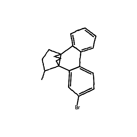 CC1CCC23CCCC12c1cc(Br)ccc1-c1ccccc13